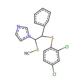 N#CSC(C(Sc1ccc(Cl)cc1Cl)c1ccccc1)n1ccnc1